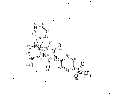 CC1(Cc2ccncc2-c2ccc(Cl)cc2)NC(=O)N(c2ccc(S(=O)(=O)C(F)(F)F)cc2)C1=O